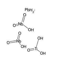 [O]=[Nb](=[O])[OH].[O]=[Nb](=[O])[OH].[O]=[Ti]([OH])[OH].[PbH2]